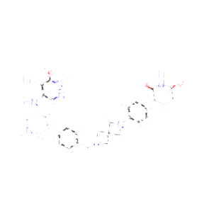 CN1C[C@H](Nc2cnn(C)c(=O)c2Br)C[C@H](c2ccc(CN3CC4(C3)CN(c3ccc(C5CCC(=O)NC5=O)cc3)C4)cc2)C1